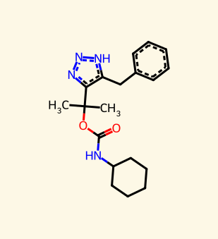 CC(C)(OC(=O)NC1CCCCC1)c1nn[nH]c1Cc1ccccc1